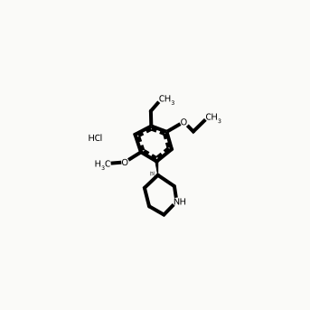 CCOc1cc([C@@H]2CCCNC2)c(OC)cc1CC.Cl